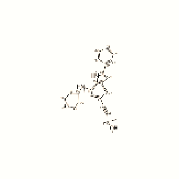 CC(C)(O)C#Cc1cc(NC2CCOCC2)c2[nH]c(-c3ccccc3)cc2c1